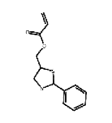 C=CC(=O)OCC1CSC(c2ccccc2)S1